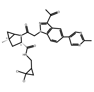 CC(=O)c1nn(CC(=O)N2C3C[C@]3(C)C[C@H]2C(=O)NCC2CC2(Cl)Cl)c2ccc(-c3cnc(C)nc3)cc12